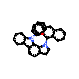 c1ccc(-n2c3ccccc3c3ccc4ccn(-c5c6ccccc6cc6ccccc56)c4c32)cc1